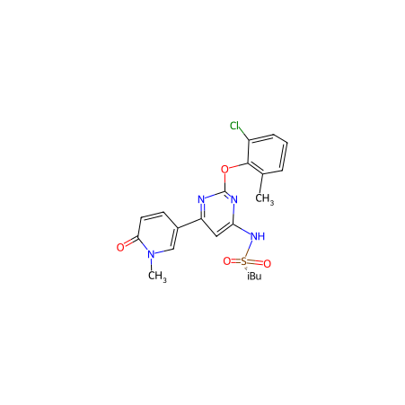 CC[C@@H](C)S(=O)(=O)Nc1cc(-c2ccc(=O)n(C)c2)nc(Oc2c(C)cccc2Cl)n1